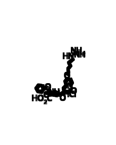 Cl.N=C(N)NCCCCCOc1ccn2c(=O)cc(C(=O)NC[C@H](NS(=O)(=O)c3ccccc3)C(=O)O)cc2c1